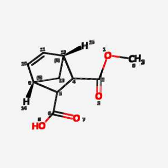 COC(=O)C1C(C(=O)O)[C@@H]2C=C[C@H]1C2